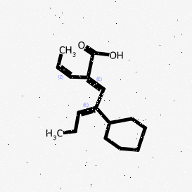 C\C=C/C(=C\C(=C\CC)C1CCCCC1)C(=O)O